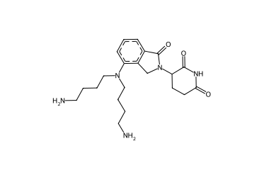 NCCCCN(CCCCN)c1cccc2c1CN(C1CCC(=O)NC1=O)C2=O